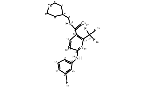 O=C(NCC1CCOCC1)c1cnc(Nc2cccc(F)c2)nc1C(F)(F)F